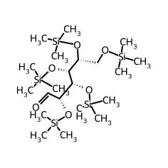 C[Si](C)(C)OC[C@@H](O[Si](C)(C)C)[C@@H](O[Si](C)(C)C)[C@H](O[Si](C)(C)C)[C@@H](C=O)O[Si](C)(C)C